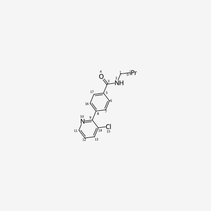 CC(C)CNC(=O)c1ccc(-c2ncccc2Cl)cc1